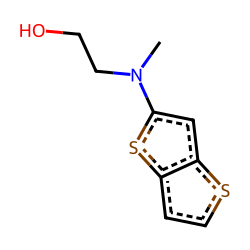 CN(CCO)c1cc2sccc2s1